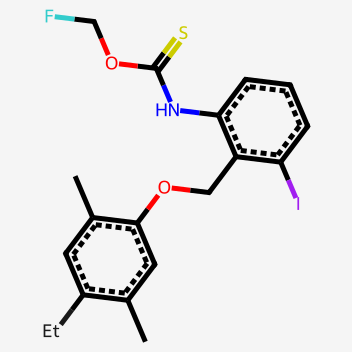 CCc1cc(C)c(OCc2c(I)cccc2NC(=S)OCF)cc1C